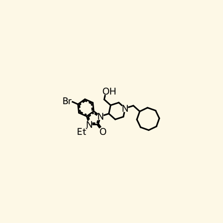 CCn1c(=O)n(C2CCN(CC3CCCCCCC3)CC2CO)c2ccc(Br)cc21